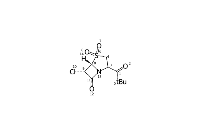 CC(C)(C)C(=O)C1CS(=O)(=O)[C@H]2[C@@H](Cl)C(=O)N12